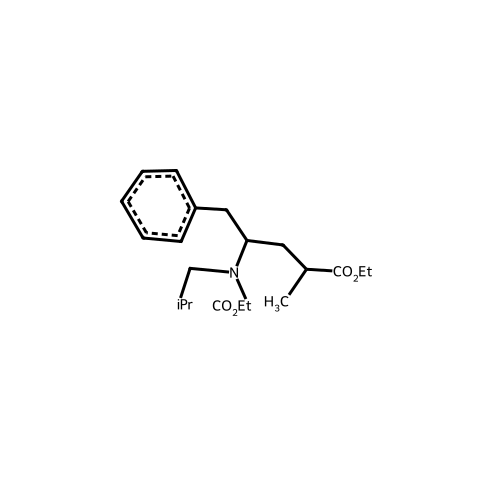 CCOC(=O)C(C)CC(Cc1ccccc1)N(CC(C)C)C(=O)OCC